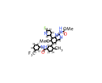 COC(=O)Nc1ncc2cc(-c3cc(C(=O)Nc4cccc(C(F)(F)F)c4)ccc3C)c(OC)c(-c3ccc(F)nc3)c2n1